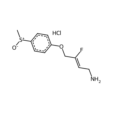 C[S+]([O-])c1ccc(OCC(F)=CCN)cc1.Cl